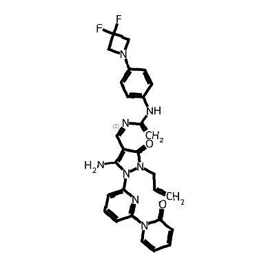 C=CCn1c(=O)c(/C=N\C(=C)Nc2ccc(N3CC(F)(F)C3)cc2)c(N)n1-c1cccc(-n2ccccc2=O)n1